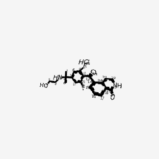 CC(C)(NCCO)c1cc(F)c(C(=O)c2cccc3c(=O)[nH]ccc23)c(F)c1.Cl